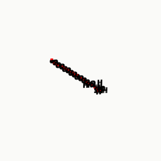 CC(C)(C)CCOCCOCCOCCOCCOCCOCCOCCOCCOCCOCCOCCNC(=O)CCCC[C@@H]1SC[C@@H]2NC(=O)N[C@@H]21